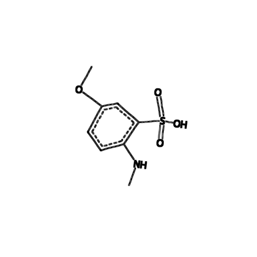 CNc1ccc(OC)cc1S(=O)(=O)O